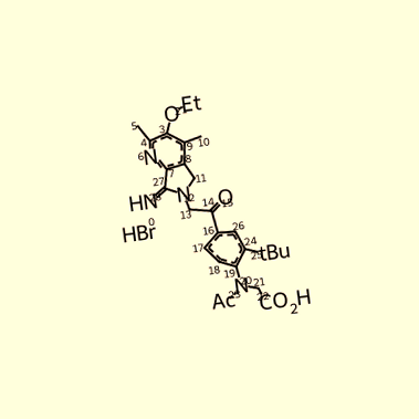 Br.CCOc1c(C)nc2c(c1C)CN(CC(=O)c1ccc(N(CC(=O)O)C(C)=O)c(C(C)(C)C)c1)C2=N